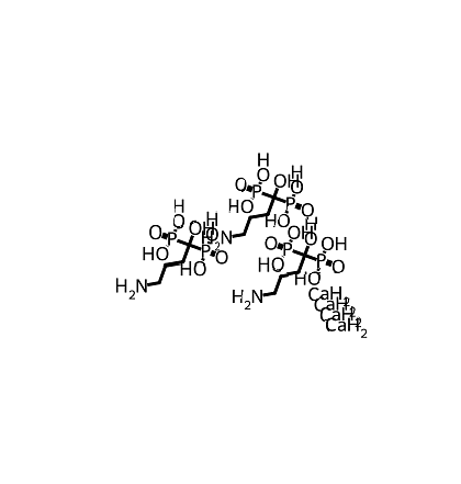 NCCCC(O)(P(=O)(O)O)P(=O)(O)O.NCCCC(O)(P(=O)(O)O)P(=O)(O)O.NCCCC(O)(P(=O)(O)O)P(=O)(O)O.[CaH2].[CaH2].[CaH2].[CaH2]